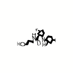 Cc1cc(I)ccc1Nc1ccc(F)cc1C(=O)NCCCO